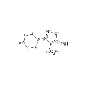 CCOC(=O)c1c([NH-])on[n+]1N1CCOCC1